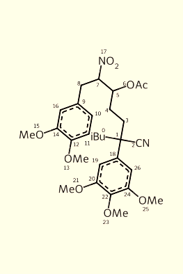 CCC(C)C(C#N)(CCC(OC(C)=O)C(Cc1ccc(OC)c(OC)c1)[N+](=O)[O-])c1cc(OC)c(OC)c(OC)c1